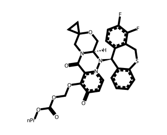 CCCOC(=O)OCOc1c2n(ccc1=O)N([C@@H]1c3ccccc3SCc3c1ccc(F)c3F)[C@@H]1COC3(CC3)CN1C2=O